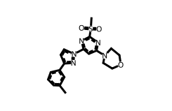 Cc1cccc(-c2ccn(-c3cc(N4CCOCC4)nc(S(C)(=O)=O)n3)n2)c1